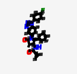 O=C(N[C@H]1CC(=O)N(c2ccc3c(c2)nnn3-c2ccc(F)cc2)[C@@H]1c1ccccc1)C1CC1